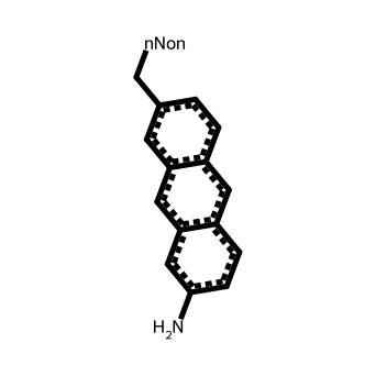 CCCCCCCCCCc1ccc2cc3ccc(N)cc3cc2c1